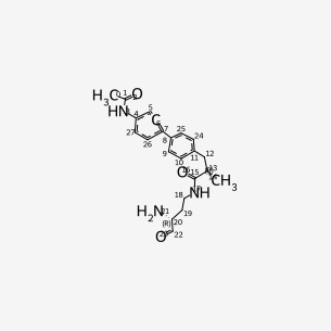 CC(=O)Nc1ccc(-c2ccc(C[C@@H](C)C(=O)NCC[C@@H](N)C=O)cc2)cc1